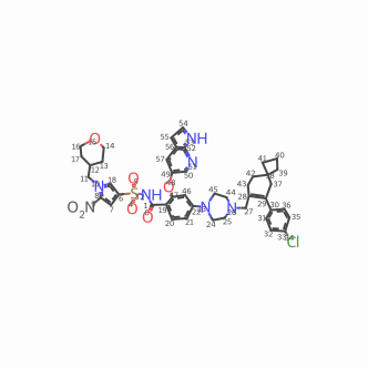 O=C(NS(=O)(=O)c1cc([N+](=O)[O-])n(CC2CCOCC2)c1)c1ccc(N2CCN(CC3=C(c4ccc(Cl)cc4)CC4(CCC4)CC3)CC2)cc1Oc1cnc2[nH]ccc2c1